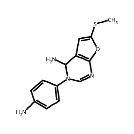 CSc1cc2c(o1)N=CN(c1ccc(N)cc1)C2N